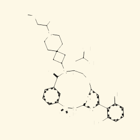 COCC(C)N1CCC2(CC1)CC(N1C(=O)c3cccc(c3)S(=O)(=O)Nc3nc(cc(-c4c(C)cccc4C)n3)OC[C@H]1CC(C)C)C2